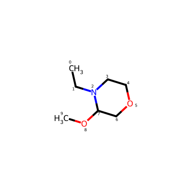 CCN1CCOCC1OC